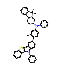 Cc1cc(N(c2ccccc2)c2ccc3c(c2)C(C)(C)c2ccccc2-3)ccc1-c1ccc2c(c1)c1sc3ccccc3c1n2-c1ccccc1